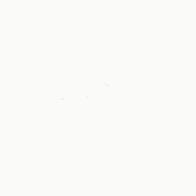 CC(=O)Nc1ccccc1C1C=C(Cl)C(Cl)=CC1